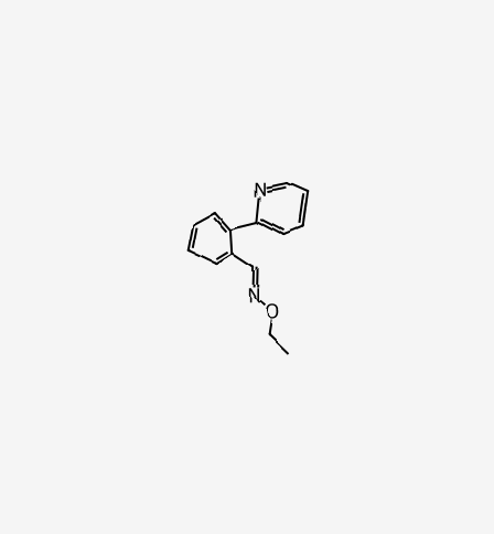 CCO/N=C/c1ccccc1-c1ccccn1